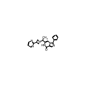 CC(c1cn2c(-c3ccccc3)ncc2c(=O)[nH]1)N1CC(c2ncccn2)C1